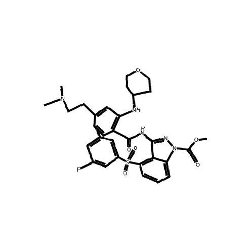 COC(=O)n1nc(NC(=O)c2ccc(CCN(C)C)cc2NC2CCOCC2)c2c(S(=O)(=O)c3cc(F)cc(F)c3)cccc21